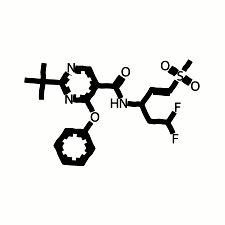 CC(C)(C)c1ncc(C(=O)NC(/C=C/S(C)(=O)=O)CC(F)F)c(Oc2ccccc2)n1